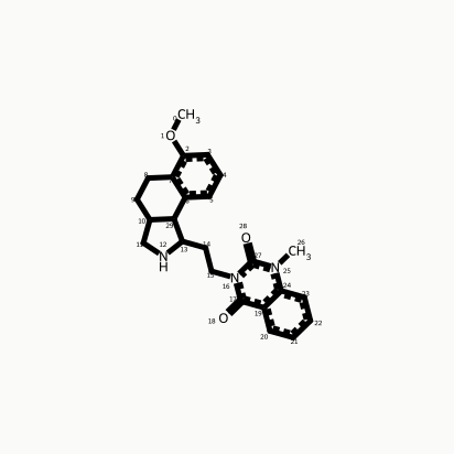 COc1cccc2c1CCC1CNC(CCn3c(=O)c4ccccc4n(C)c3=O)C21